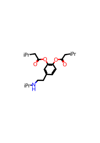 CC(C)CC(=O)Oc1ccc(CCNC(C)C)cc1OC(=O)CC(C)C